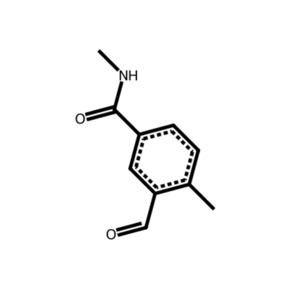 CNC(=O)c1ccc(C)c(C=O)c1